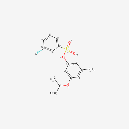 Cc1cc(OC(C)C=O)cc(OS(=O)(=O)c2cccc(F)c2)c1